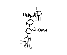 COCOc1cc(-c2cc(=O)n(C)cn2)ccc1-c1cnc(N(C)[C@@H]2C[C@H]3CC[C@@H]([C@@H]2F)N3C(=O)O)cn1